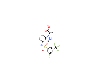 COC(=O)C(C)n1ncc2c1CCCC2N(C)S(=O)(=O)c1cc(F)cc(C(F)(F)F)c1